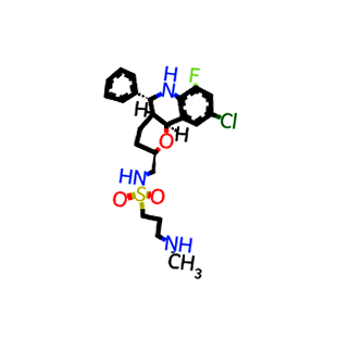 CNCCCS(=O)(=O)NC[C@H]1CC[C@@H]2[C@H](O1)c1cc(Cl)cc(F)c1N[C@H]2c1ccccc1